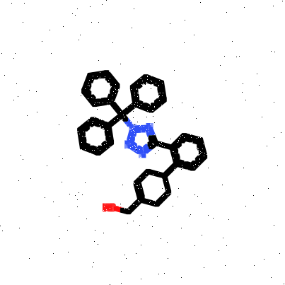 OCC1=CCC(c2ccccc2-c2nnn(C(c3ccccc3)(c3ccccc3)c3ccccc3)n2)CC1